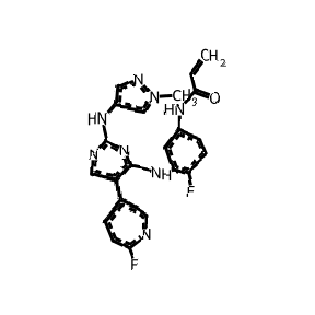 C=CC(=O)Nc1ccc(F)c(Nc2nc(Nc3cnn(C)c3)ncc2-c2ccc(F)nc2)c1